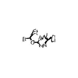 CCC(CC)Oc1nnc(Cl)nn1